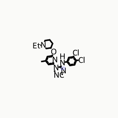 CCN1CCCC(Oc2cc(C)cc(N(C)/C(=N\C#N)Nc3ccc(Cl)c(Cl)c3)n2)C1